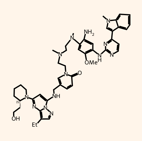 CCc1cnn2c(NCc3ccc(=O)n(CCN(C)CCN(C)c4cc(OC)c(Nc5nccc(-c6cn(C)c7ccccc67)n5)cc4N)c3)cc(N3CCCC[C@H]3CCO)nc12